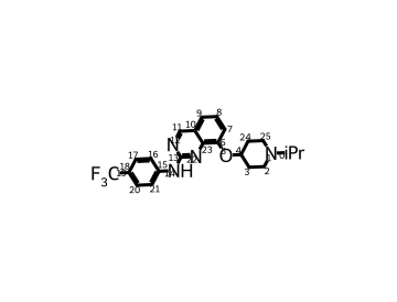 CC(C)N1CCC(Oc2cccc3cnc(Nc4ccc(C(F)(F)F)cc4)nc23)CC1